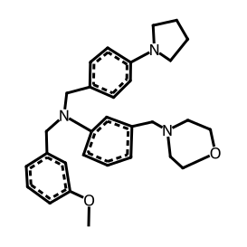 COc1cccc(CN(Cc2ccc(N3CCCC3)cc2)c2cccc(CN3CCOCC3)c2)c1